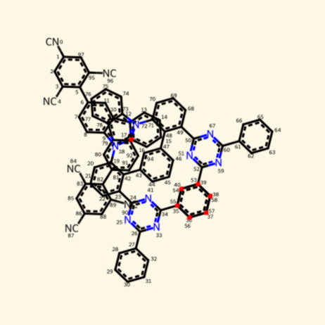 [C-]#[N+]c1cc(C#N)c(-c2ccc3c(c2)c2ccccc2n3-c2cccc(-c3nc(-c4ccccc4)nc(-c4ccccc4)n3)c2-c2cccc(-c3c(-c4nc(-c5ccccc5)nc(-c5ccccc5)n4)cccc3-n3c4ccccc4c4cc(-c5c(C#N)cc(C#N)cc5[N+]#[C-])ccc43)c2)c([N+]#[C-])c1